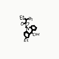 CCc1ccc2c(c1)C(O)c1ccccc1N2COC(=O)C(CC)C(C)C